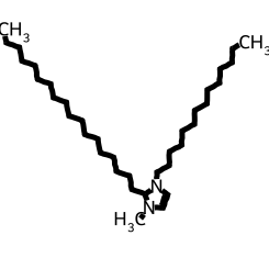 CCCCCCCCCCCCCCCCCCC1N(C)C=CN1CCCCCCCCCCCCCC